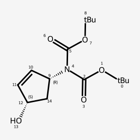 CC(C)(C)OC(=O)N(C(=O)OC(C)(C)C)[C@H]1C=C[C@@H](O)C1